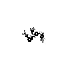 COC(=O)N1CC(c2cccc3cc(-c4nc5cc(C(=O)N6C[C@H]7CC[C@@H]6C[C@@H]7N)cc(OC)c5n4Cc4cnn(C)c4)n(C)c23)C1